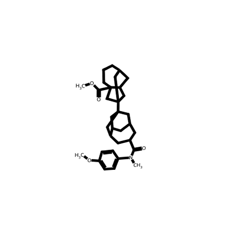 COC(=O)C12CCCC3CC1CC(C14CC5CC(C(=O)N(C)c6ccc(OC)cc6)CC(C1)C(C5)C4)(C3)C2